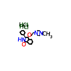 CN1CCN(CCOc2c(-c3ccccc3)[nH]c(=O)c3ccccc23)CC1.Cl.Cl